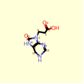 O=C(O)CCn1c2c([nH]c1=O)CNC=N2